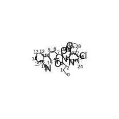 CCCC(=O)N(Cc1ccc(-c2ccccc2C#N)cc1)c1nc(C)c(Cl)c(C)c1[N+](=O)[O-]